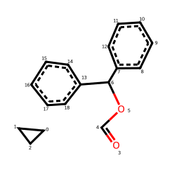 C1CC1.O=COC(c1ccccc1)c1ccccc1